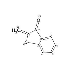 C=C1Sc2ccccc2C1=O